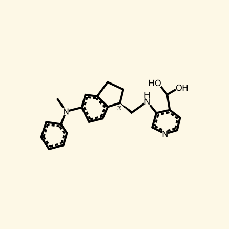 CN(c1ccccc1)c1ccc2c(c1)CC[C@H]2CNc1cnccc1C(O)O